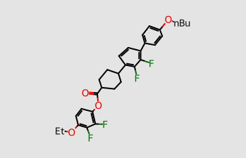 CCCCOc1ccc(-c2ccc(C3CCC(C(=O)Oc4ccc(OCC)c(F)c4F)CC3)c(F)c2F)cc1